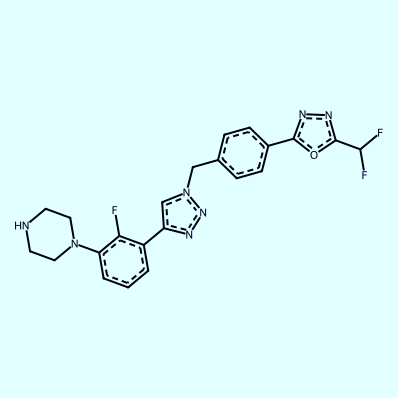 Fc1c(-c2cn(Cc3ccc(-c4nnc(C(F)F)o4)cc3)nn2)cccc1N1CCNCC1